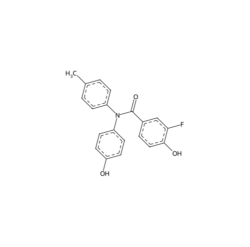 Cc1ccc(N(C(=O)c2ccc(O)c(F)c2)c2ccc(O)cc2)cc1